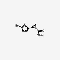 COC(=O)[C@@H]1C[C@H]1c1ccc(Br)s1